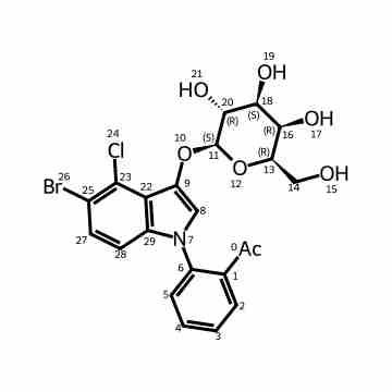 CC(=O)c1ccccc1-n1cc(O[C@@H]2O[C@H](CO)[C@H](O)[C@H](O)[C@H]2O)c2c(Cl)c(Br)ccc21